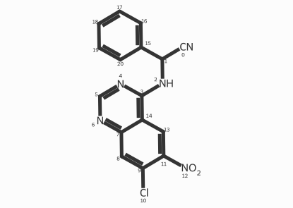 N#CC(Nc1ncnc2cc(Cl)c([N+](=O)[O-])cc12)c1ccccc1